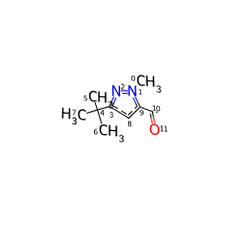 Cn1nc(C(C)(C)C)cc1[C]=O